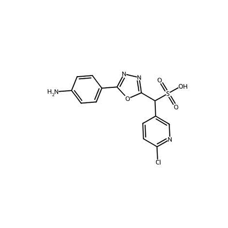 Nc1ccc(-c2nnc(C(c3ccc(Cl)nc3)S(=O)(=O)O)o2)cc1